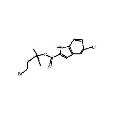 CC(C)(CCBr)OC(=O)c1cc2cc(Cl)ccc2[nH]1